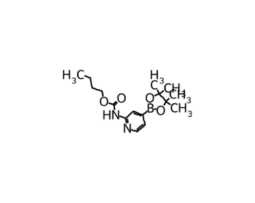 CCCCOC(=O)Nc1cc(B2OC(C)(C)C(C)(C)O2)ccn1